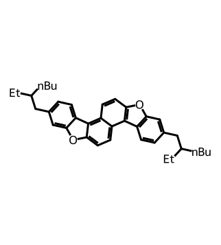 CCCCC(CC)Cc1ccc2c(c1)oc1ccc3c(ccc4oc5cc(CC(CC)CCCC)ccc5c43)c12